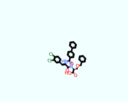 O=C(N[C@@H](COCc1ccccc1)C(=O)O)C(=Cc1ccc(Cl)c(Cl)c1)NC(=O)c1ccc(-c2ccccc2)cc1